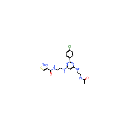 CC(=O)NCCNc1cc(NCCNC(=O)c2csnn2)nc(-c2ccc(Cl)cc2)n1